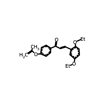 C=C(C)Oc1ccc(C(=O)C=Cc2cc(OCC)ccc2OCC)cc1